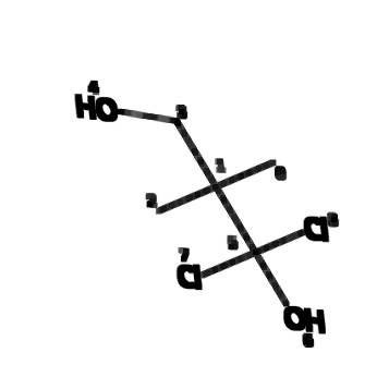 CC(C)(CO)C(O)(Cl)Cl